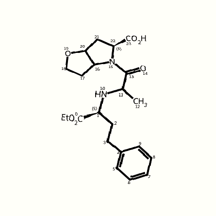 CCOC(=O)[C@H](CCc1ccccc1)NC(C)C(=O)N1C2CCOC2C[C@H]1C(=O)O